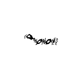 CCN(CC)c1ccc(/N=N/c2ccc(/N=N/c3ccc(F)cc3)c(C)c2)cc1